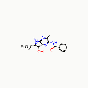 CCOC(=O)c1c(O)c2nc(NC(=O)c3ccccc3)c(C)nc2n1C